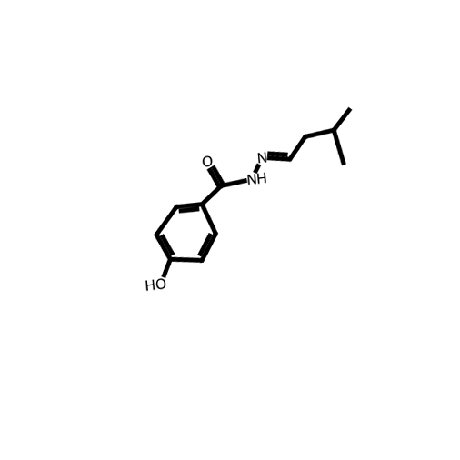 CC(C)C/C=N/NC(=O)c1ccc(O)cc1